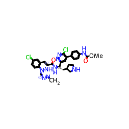 C=N/N=C\N(N)c1ccc(Cl)cc1/C=C/C(=O)N[C@@H](CC1CCNC1)c1cc(-c2ccc(NC(=O)OC)cc2)c(Cl)nn1